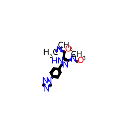 CN(C)C(=O)c1[nH]c(-c2ccc(-n3cncn3)cc2)nc1N(C)C=O